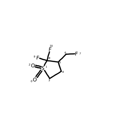 O=S1(=O)CCC(CF)C1(F)F